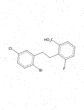 O=C(O)c1cccc(F)c1CCc1cc(Cl)ccc1Br